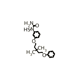 CC(C)(CCOc1ccccc1)CCOc1cccc(N(S)C(N)=O)c1